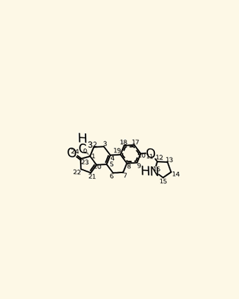 C[C@]12CCC3=C(CCc4cc(OC5CCCN5)ccc43)C1=CCC2=O